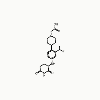 O=C(O)CN1CCC(c2ccc(NC3CCC(=O)NC3=O)cc2C(F)F)CC1